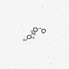 O=Cc1ccc(-c2nc3cc(Cc4ccccc4)ccc3o2)c(F)c1